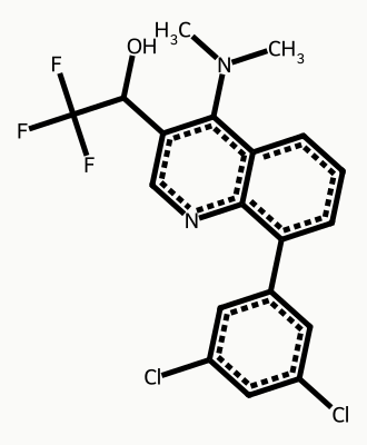 CN(C)c1c(C(O)C(F)(F)F)cnc2c(-c3cc(Cl)cc(Cl)c3)cccc12